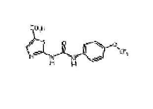 O=C(Nc1ccc(OC(F)(F)F)cc1)Nc1ncc(C(=O)O)s1